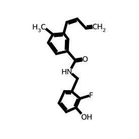 C=C/C=C\c1cc(C(=O)NCc2cccc(O)c2F)ccc1C